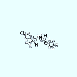 CN(CCCC(C#N)(c1ccc(Cl)cc1)C1CC1)CCOc1ccc(F)cc1